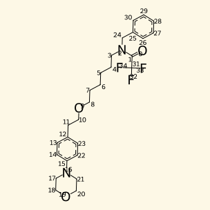 O=C(N(CCCCCCOCCc1ccc(N2CCOCC2)cc1)Cc1ccccc1)C(F)(F)F